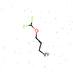 CC(C)[CH]CCOC(F)F